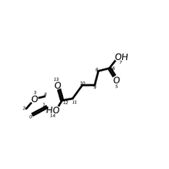 C=C.COC.O=C(O)CCCCC(=O)O